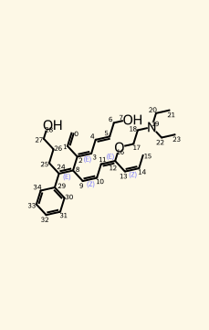 C=CC(=C\C=CCO)/C(/C=C\C=C(/C=C\C)OCCN(CC)CC)=C(\CCCO)c1ccccc1